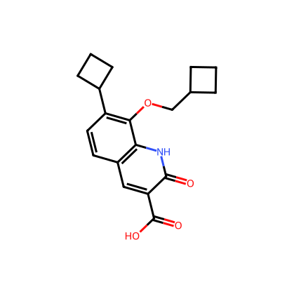 O=C(O)c1cc2ccc(C3CCC3)c(OCC3CCC3)c2[nH]c1=O